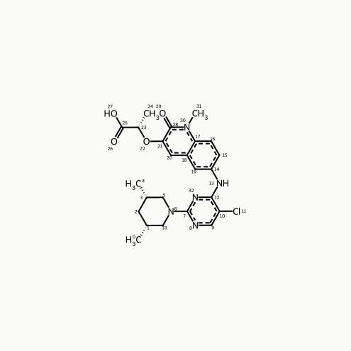 C[C@@H]1C[C@H](C)CN(c2ncc(Cl)c(Nc3ccc4c(c3)cc(O[C@@H](C)C(=O)O)c(=O)n4C)n2)C1